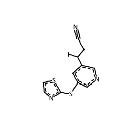 N#CCC(I)c1cncc(Sc2nccs2)c1